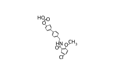 CCOc1ccc(Cl)cc1C(=O)NCCc1ccc(-c2ccc(OC(=O)O)cc2)cc1